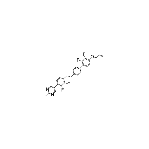 C=CCOc1ccc(-c2ccc(CCc3ccc(-c4cnc(C)nc4)c(F)c3F)cc2)c(F)c1F